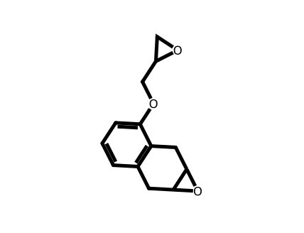 c1cc2c(c(OCC3CO3)c1)CC1OC1C2